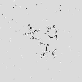 C=C(C)C(=O)OCCOS(=O)(=O)O.c1ccncc1